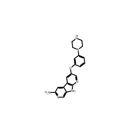 Nc1cc2c(cn1)[nH]c1ncc(Oc3cccc(N4CCNCC4)c3)cc12